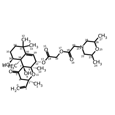 C=C[C@@]1(C)CC(=O)[C@@]2(O)[C@](C)(O1)[C@@H](OC(=O)COC(=O)CN1CC(C)OC(C)C1)C=C1C(C)(C)CC[C@H](O)[C@@]12C